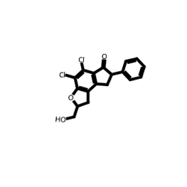 O=C1c2c(Cl)c(Cl)c3c(c2CC1c1ccccc1)CC(CO)O3